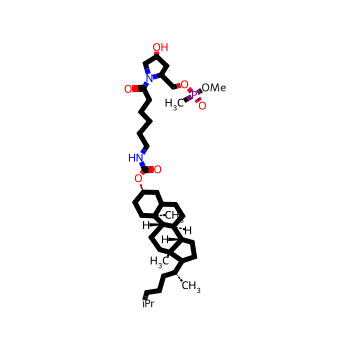 COP(C)(=O)OCC1CC(O)CN1C(=O)CCCCCNC(=O)O[C@H]1CC[C@@]2(C)C(CC[C@@H]3[C@@H]2CC[C@]2(C)C([C@H](C)CCCC(C)C)CC[C@@H]32)C1